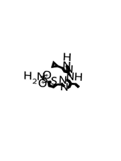 C=Cc1cnc(-c2ccc(S(N)(=O)=O)s2)nc1Nc1cc(C2CC2)[nH]n1